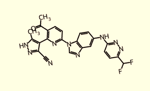 CC(=O)c1ccc(-n2cnc3cc(Nc4ccc(C(F)F)nn4)ccc32)nc1-c1c(C#N)n[nH]c1C